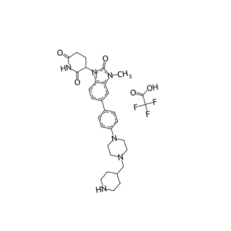 Cn1c(=O)n(C2CCC(=O)NC2=O)c2ccc(-c3ccc(N4CCN(CC5CCNCC5)CC4)cc3)cc21.O=C(O)C(F)(F)F